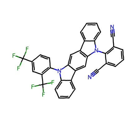 N#Cc1cccc(C#N)c1-n1c2ccccc2c2cc3c(cc21)c1ccccc1n3-c1ccc(C(F)(F)F)cc1C(F)(F)F